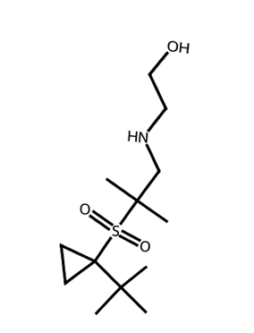 CC(C)(C)C1(S(=O)(=O)C(C)(C)CNCCO)CC1